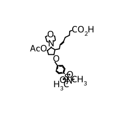 CC(=O)OC1CC(OCc2ccc(S(=O)(=O)N(C)C)cc2)C(CC=CCCCC(=O)O)C1N1CCOCC1